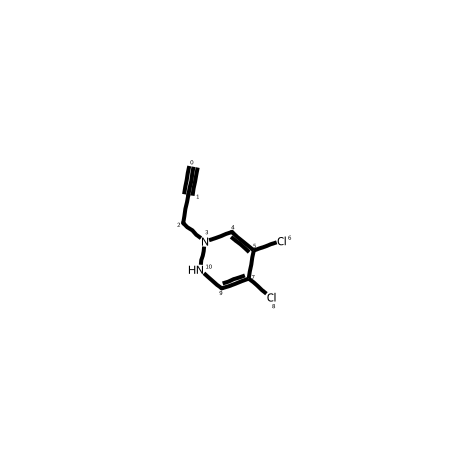 C#CCN1C=C(Cl)C(Cl)=CN1